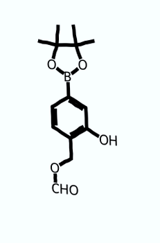 CC1(C)OB(c2ccc(COC=O)c(O)c2)OC1(C)C